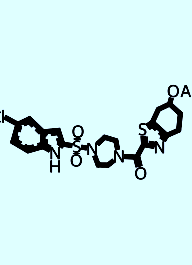 CC(=O)OC1CCc2nc(C(=O)N3CCN(S(=O)(=O)c4cc5cc(Cl)ccc5[nH]4)CC3)sc2C1